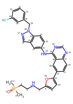 CP(C)(=O)CCNCc1ccc(-c2ccc3ncnc(Nc4ccc5c(cnn5Cc5cccc(F)c5)c4)c3c2)o1